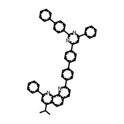 CC(C)c1cc(-c2ccccc2)nc2c1ccc1ccc(-c3ccc(-c4ccc(-c5cc(-c6ccccc6)nc(-c6ccc(-c7ccccc7)cc6)n5)cc4)cc3)nc12